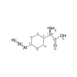 [N-]=[N+]=NC1CCC([C@@H](N)C(=O)O)CC1